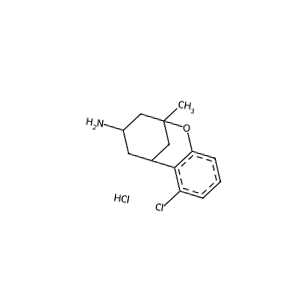 CC12CC(N)CC(C1)c1c(Cl)cccc1O2.Cl